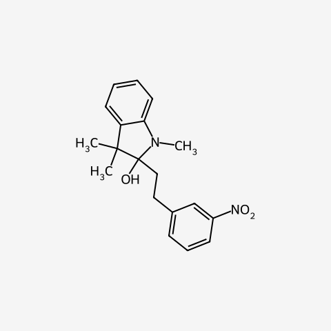 CN1c2ccccc2C(C)(C)C1(O)CCc1cccc([N+](=O)[O-])c1